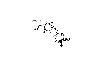 COC(=O)c1ccc(Oc2ccn(C)c(=O)n2)cc1